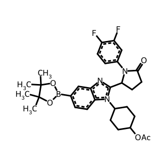 CC(=O)OC1CCC(n2c(C3CCC(=O)N3c3ccc(F)c(F)c3)nc3cc(B4OC(C)(C)C(C)(C)O4)ccc32)CC1